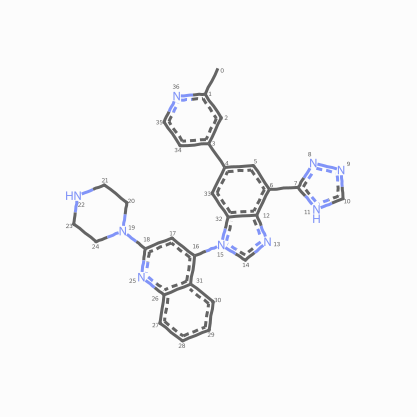 Cc1cc(-c2cc(-c3nnc[nH]3)c3ncn(-c4cc(N5CCNCC5)nc5ccccc45)c3c2)ccn1